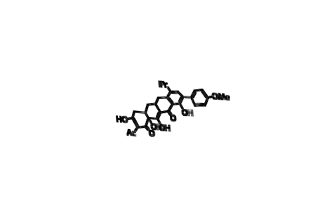 COc1ccc(-c2cc(C(C)C)c3c(c2O)C(=O)C2=C(O)C4(O)C(=O)C(C(C)=O)=C(O)CC4CC2C3)cc1